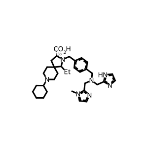 CCC1N(Cc2ccc(CN(Cc3ncc[nH]3)Cc3nccn3C)cc2)[C@@H](C(=O)O)CC12CCN(C1CCCCC1)CC2